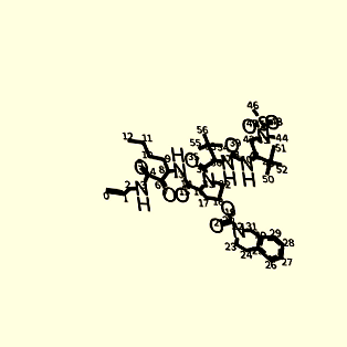 C=CCNC(=O)C(=O)C(CCCC)NC(=O)C1CC(OC(=O)N2CCc3ccccc3C2)CN1C(=O)C(NC(=O)NC(CN(C)S(C)(=O)=O)C(C)(C)C)C(C)(C)C